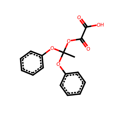 CC(OC(=O)C(=O)O)(Oc1ccccc1)Oc1ccccc1